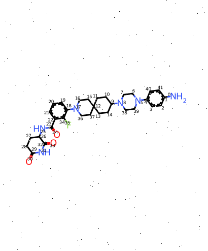 Nc1ccc(N2CCN(C3CCC4(CC3)CCN(c3cccc(C(=O)NC5CCC(=O)NC5=O)c3F)CC4)CC2)cc1